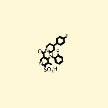 Cc1c(S(=O)(=O)O)ncc(C(=O)N2CCC(c3ccc(F)cc3)CC2)c1Nc1ccccc1F